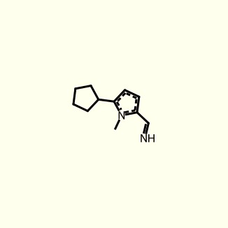 Cn1c(C=N)ccc1C1CCCC1